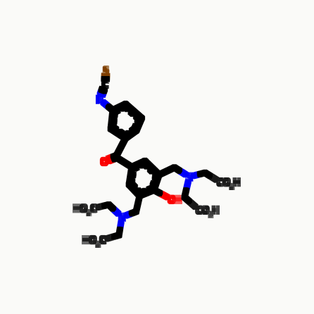 O=C(O)CN(CC(=O)O)Cc1cc(C(=O)c2cccc(N=C=S)c2)cc(CN(CC(=O)O)CC(=O)O)c1O